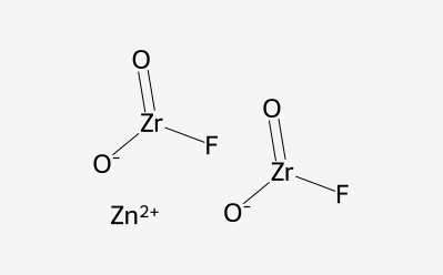 [O]=[Zr]([O-])[F].[O]=[Zr]([O-])[F].[Zn+2]